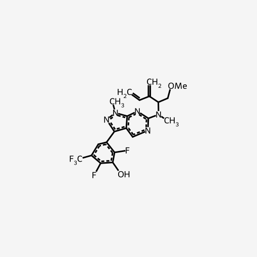 C=CC(=C)C(COC)N(C)c1ncc2c(-c3cc(C(F)(F)F)c(F)c(O)c3F)nn(C)c2n1